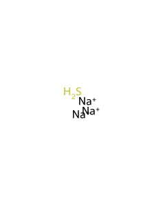 S.[Na+].[Na+].[Na+]